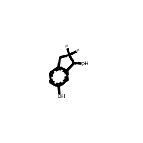 Oc1ccc2c(c1)C(O)C(F)(F)C2